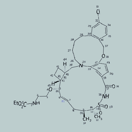 CCOC(=O)NCCO[C@H]1/C=C/C[C@H](C)[C@@H](C)S(=O)(=O)NC(=O)c2ccc3c(c2)N(CCCCc2cc(Cl)ccc2CO3)C[C@@H]2CC[C@H]21